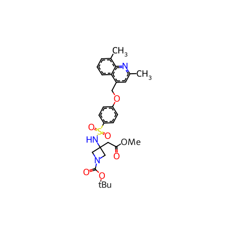 COC(=O)CC1(NS(=O)(=O)c2ccc(OCc3cc(C)nc4c(C)cccc34)cc2)CN(C(=O)OC(C)(C)C)C1